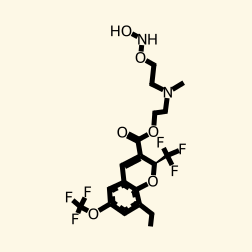 CCc1cc(OC(F)(F)F)cc2c1O[C@H](C(F)(F)F)C(C(=O)OCCN(C)CCONO)=C2